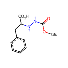 CC(C)(C)OC(=O)NNC(Cc1ccccc1)C(=O)O